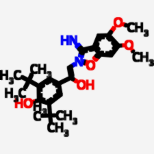 COc1cc2on(C=C(O)c3cc(C(C)(C)C)c(O)c(C(C)(C)C)c3)c(=N)c2cc1OC